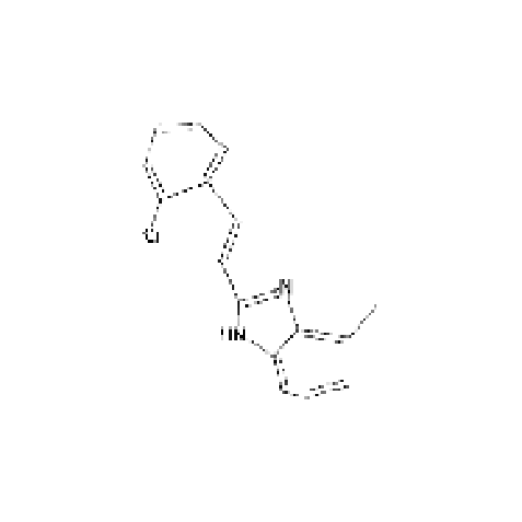 Cc1cccc2[nH]c(C=Cc3ccccc3Cl)nc12